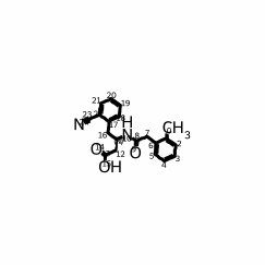 Cc1ccccc1CC(=O)N[C@@H](CC(=O)O)Cc1ccccc1C#N